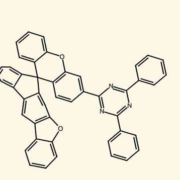 c1ccc(-c2nc(-c3ccccc3)nc(-c3ccc4c(c3)Oc3ccccc3C43c4ccccc4-c4cc5c(cc43)oc3ccccc35)n2)cc1